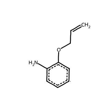 C=CCOc1c[c]ccc1N